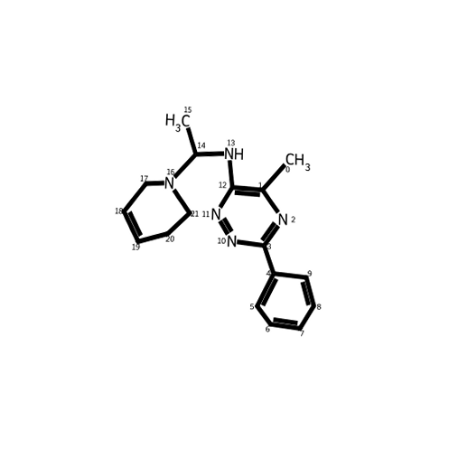 Cc1nc(-c2ccccc2)nnc1NC(C)N1CC=CCC1